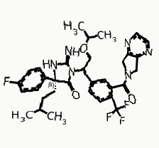 CC(C)CC[C@]1(c2ccc(F)cc2)NC(=N)N(C(COC(C)C)c2ccc(C(F)(F)F)c(C(=O)N3Cc4nccnc4C3)c2)C1=O